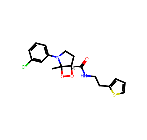 CC12OO[C@@]1(C(=O)NCCc1cccs1)CCN2c1cccc(Cl)c1